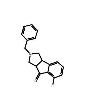 O=C1c2c(Cl)cccc2C2CN(Cc3ccccc3)CC12